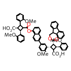 COc1ccccc1C1C(C(=O)Oc2cccc3cc(-c4ccc(OC)c([C@H]5C(C(=O)O)[C@H](c6ccccc6OC)[C@H]5C(=O)OCC5c6ccccc6-c6ccccc65)c4)ccc23)[C@@H](c2ccccc2OC)[C@H]1C(=O)O